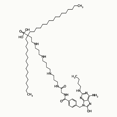 CCCCCCCCCCCCCCCCC(CCCCCCCCCCCCCCCC)(CCNCCCNCCCCNCCCNC(=O)CNC(=O)c1ccc(Cn2c(O)nc3c(N)nc(NCCCC)nc32)cc1)P(=O)(O)O